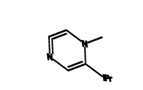 CC(C)C1=CN=C=CN1C